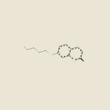 BCCCCOc1ccc2ccc(=O)[nH]c2c1